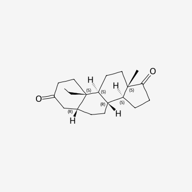 CC[C@]12CCC(=O)C[C@H]1CC[C@@H]1[C@@H]2CC[C@]2(C)C(=O)CC[C@@H]12